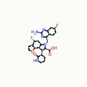 Nc1nc(Cn2c(C(=O)O)c(-c3ccc[nH]c3=O)c3c4occc4c(F)cc32)c2ccc(F)cc2n1